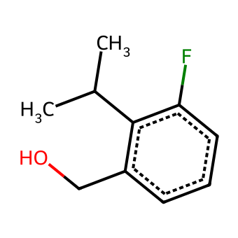 CC(C)c1c(F)cccc1CO